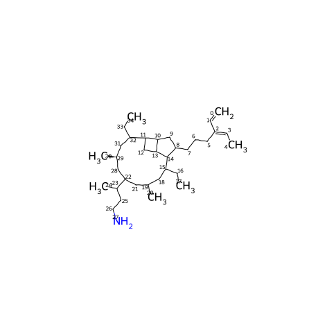 C=C/C(=C/C)CCCC1CC2C3CC2C1C(CC)CC(C)CC(C(C)CCN)C[C@@H](C)CC3CC